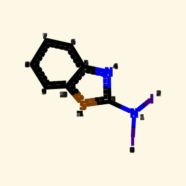 IN(I)c1nc2ccccc2s1